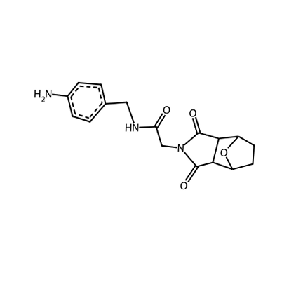 Nc1ccc(CNC(=O)CN2C(=O)C3C4CCC(O4)C3C2=O)cc1